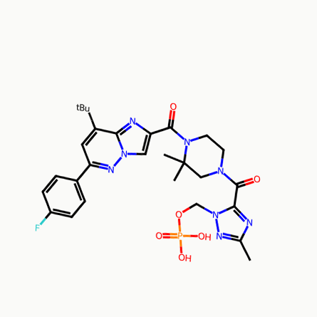 Cc1nc(C(=O)N2CCN(C(=O)c3cn4nc(-c5ccc(F)cc5)cc(C(C)(C)C)c4n3)C(C)(C)C2)n(COP(=O)(O)O)n1